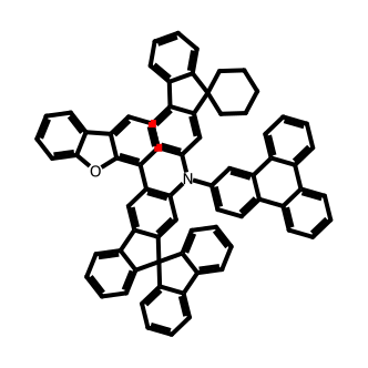 c1ccc2c(c1)-c1ccc(N(c3ccc4c5ccccc5c5ccccc5c4c3)c3cc4c(cc3-c3cccc5c3oc3ccccc35)-c3ccccc3C43c4ccccc4-c4ccccc43)cc1C21CCCCC1